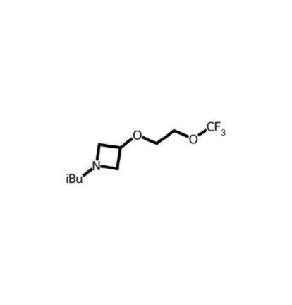 CCC(C)N1CC(OCCOC(F)(F)F)C1